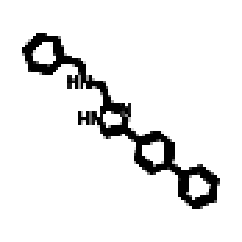 c1ccc(CNCc2nc(-c3ccc(-c4ccccc4)cc3)c[nH]2)cc1